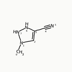 CN1C=C(C#N)NN1